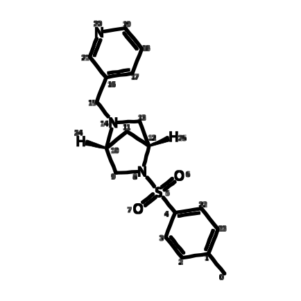 Cc1ccc(S(=O)(=O)N2C[C@H]3C[C@@H]2CN3Cc2cccnc2)cc1